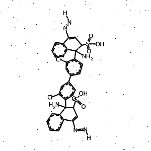 [H]/N=N/C1=CC(S(=O)(=O)O)C(N)(c2ccc(-c3ccc(C4(N)c5ccccc5C(/N=N/[H])=CC4S(=O)(=O)O)c(Cl)c3)cc2Cl)c2ccccc21